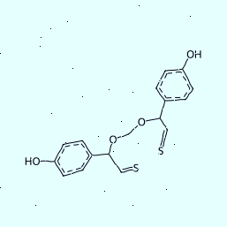 Oc1ccc(C(C=S)OCOC(C=S)c2ccc(O)cc2)cc1